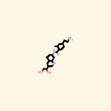 Cc1cc(/C=C/C(F)(F)F)ccc1C(=O)Nc1ccc2cc(C(O)CO)cnc2c1